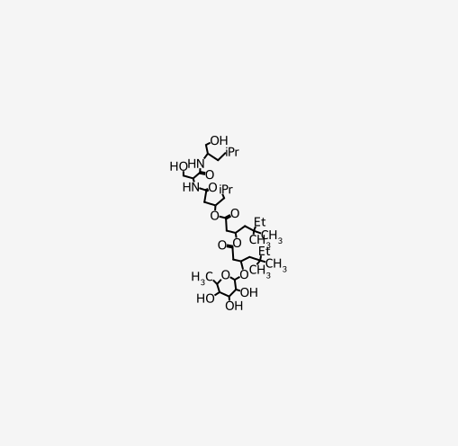 CCC(C)(C)CC(CC(=O)OC(CC(=O)NC(CO)C(=O)NC(CO)CC(C)C)CC(C)C)OC(=O)CC(CC(C)(C)CC)OC1OC(C)C(O)C(O)C1O